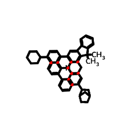 CC1(C)c2ccccc2-c2cc(-c3ccc(C4CCCCC4)cc3)c(N(c3ccc(C4CC5CCC4C5)cc3)c3ccccc3-c3ccccc3C3CCCCC3)cc21